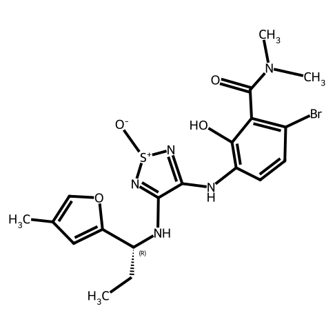 CC[C@@H](Nc1n[s+]([O-])nc1Nc1ccc(Br)c(C(=O)N(C)C)c1O)c1cc(C)co1